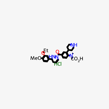 CCOc1cc(C2CC=CN(C(=O)c3ccc(N(C)C(=O)O)c(C4CCNCC4)c3)N2)ccc1OC.Cl